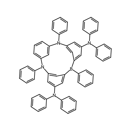 c1ccc(B2c3cc(N(c4ccccc4)c4ccccc4)cc(c3)N(c3ccccc3)c3cccc(c3)N(c3ccccc3)c3cc2cc(N(c2ccccc2)c2ccccc2)c3)cc1